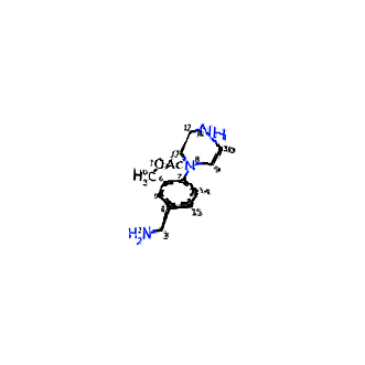 COC(C)=O.NCc1ccc(N2CCNCC2)cc1